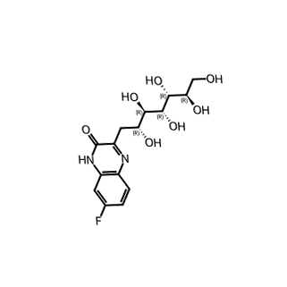 O=c1[nH]c2cc(F)ccc2nc1C[C@@H](O)[C@@H](O)[C@@H](O)[C@H](O)[C@H](O)CO